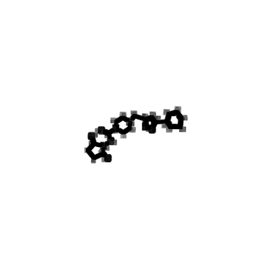 O=C(ON1C(=O)CCC1=O)N1CCN(Cc2cc(-c3ccccc3)on2)CC1